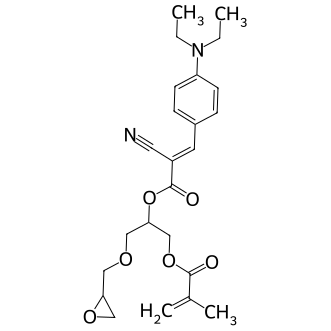 C=C(C)C(=O)OCC(COCC1CO1)OC(=O)/C(C#N)=C/c1ccc(N(CC)CC)cc1